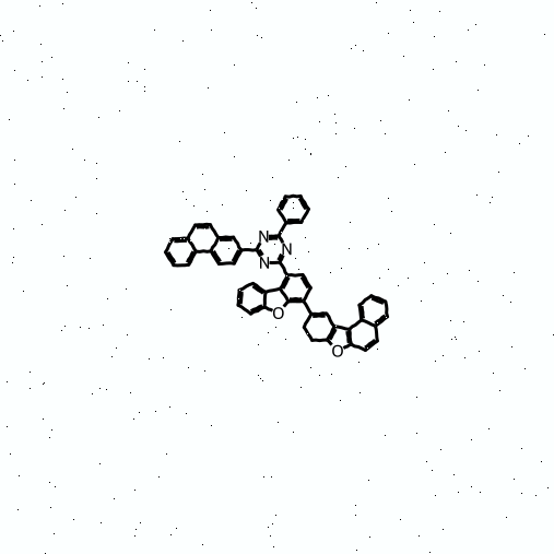 C1=C(c2ccc(-c3nc(-c4ccccc4)nc(-c4ccc5c(ccc6ccccc65)c4)n3)c3c2oc2ccccc23)CCc2oc3ccc4ccccc4c3c21